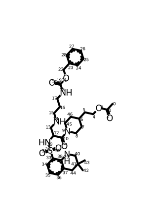 CC(=O)OCCC1CCN(C(=O)C(CNCCCNC(=O)OCc2ccccc2)NS(=O)(=O)c2cccc3c2NCC(C)(C)C3)CC1